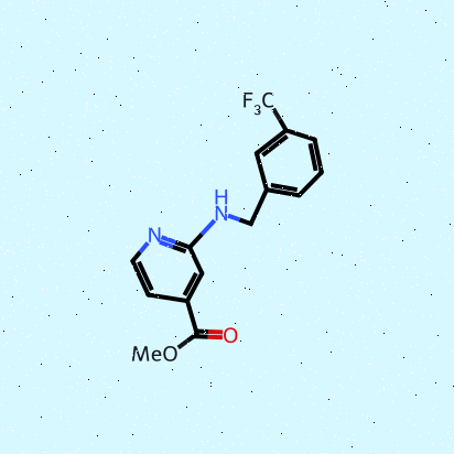 COC(=O)c1ccnc(NCc2cccc(C(F)(F)F)c2)c1